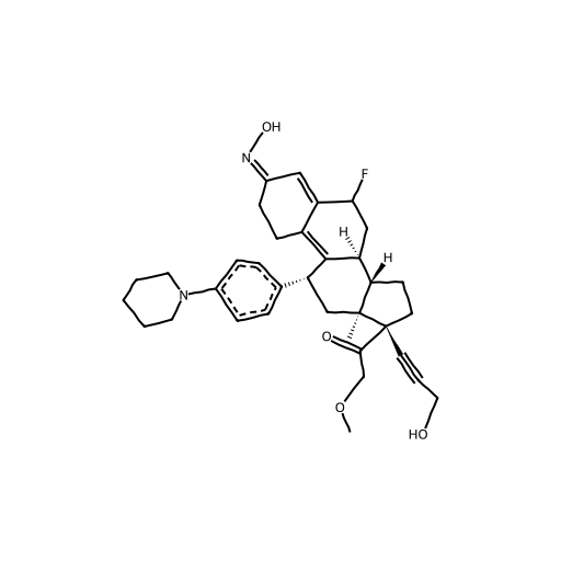 COCC(=O)[C@@]1(C#CCO)CC[C@H]2[C@@H]3CC(F)C4=CC(=NO)CCC4=C3[C@@H](c3ccc(N4CCCCC4)cc3)C[C@@]21C